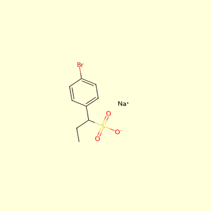 CCC(c1ccc(Br)cc1)S(=O)(=O)[O-].[Na+]